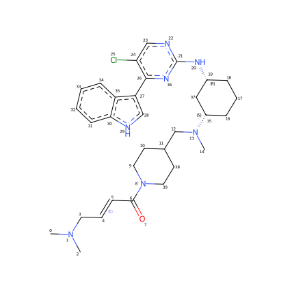 CN(C)C/C=C/C(=O)N1CCC(CN(C)[C@H]2CCC[C@@H](Nc3ncc(Cl)c(-c4c[nH]c5ccccc45)n3)C2)CC1